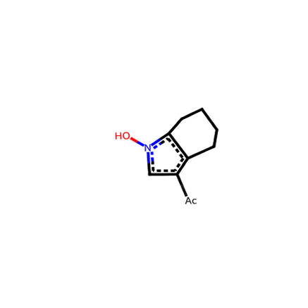 CC(=O)c1cn(O)c2c1CCCC2